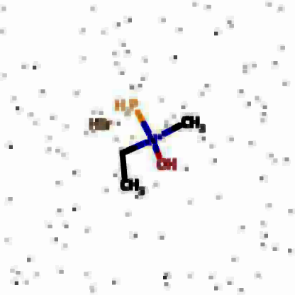 Br.CC[N+](C)(O)P